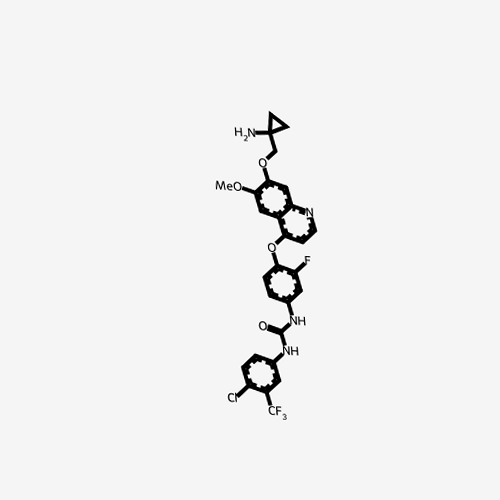 COc1cc2c(Oc3ccc(NC(=O)Nc4ccc(Cl)c(C(F)(F)F)c4)cc3F)ccnc2cc1OCC1(N)CC1